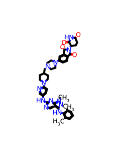 Cc1cccc(C)c1Nc1nn(C)c2nc(Nc3ccc(N4CCC(CN5CCN(c6ccc7c(c6)C(=O)N(C6CCC(=O)NC6=O)C7=O)CC5)CC4)nc3)ncc12